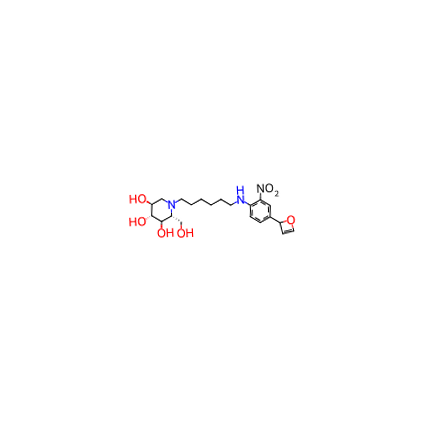 O=[N+]([O-])c1cc(C2C=CO2)ccc1NCCCCCCN1C[C@H](O)[C@@H](O)[C@H](O)[C@H]1CO